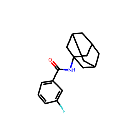 O=C(NC12C[C]3CC(CC(C3)C1)C2)c1cccc(F)c1